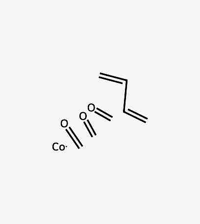 C=CC=C.C=O.C=O.C=O.[Co]